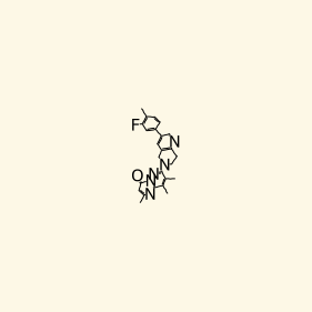 Cc1cc(=O)n2nc(N3CCc4ncc(-c5ccc(C)c(F)c5)cc4C3)c(C)c(C)c2n1